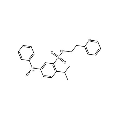 CC(C)c1ccc([S@@+]([O-])c2ccccc2)cc1S(=O)(=O)NCCc1ccccn1